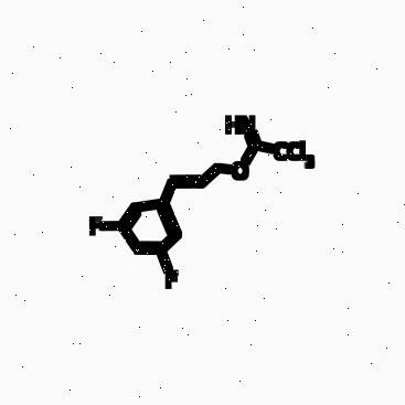 N=C(OCC=Cc1cc(F)cc(F)c1)C(Cl)(Cl)Cl